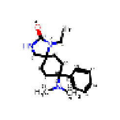 CC(C)CN1C(=O)NCC12CCC(c1ccccc1)(N(C)C)CC2